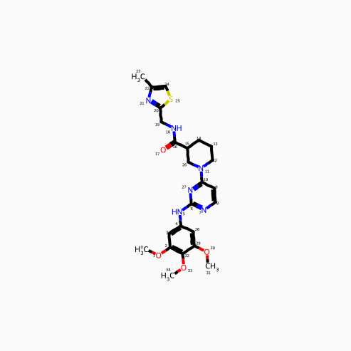 COc1cc(Nc2nccc(N3CCCC(C(=O)NCc4nc(C)cs4)C3)n2)cc(OC)c1OC